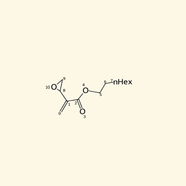 C=C(C(=O)OCCCCCCCC)C1CO1